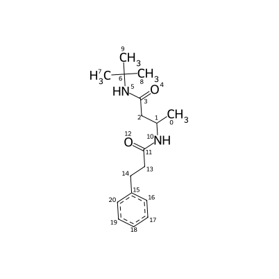 CC(CC(=O)NC(C)(C)C)NC(=O)CCc1ccccc1